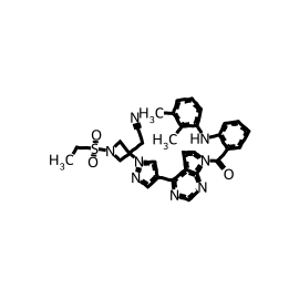 CCS(=O)(=O)N1CC(CC#N)(n2cc(-c3ncnc4c3ccn4C(=O)c3ccccc3Nc3cccc(C)c3C)cn2)C1